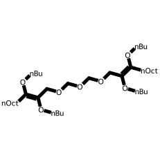 CCCCCCCCC(OCCCC)=C(COCOCOCC(OCCCC)=C(CCCCCCCC)OCCCC)OCCCC